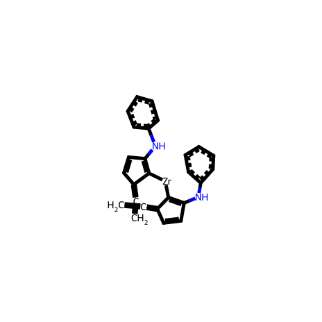 C=C=C1C=CC(Nc2ccccc2)=[C]1[Zr][C]1=C(Nc2ccccc2)C=CC1=C=C